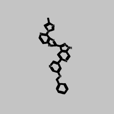 Cc1cn(-c2nccc3[nH]c(-c4n[nH]c5cnc(-c6cncc(OCc7ccccc7)c6)cc45)nc23)cn1